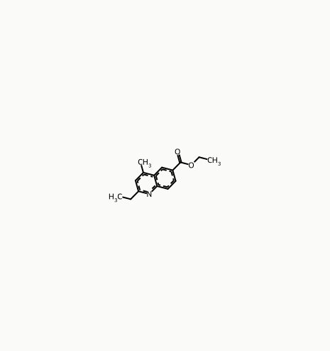 CCOC(=O)c1ccc2nc(CC)cc(C)c2c1